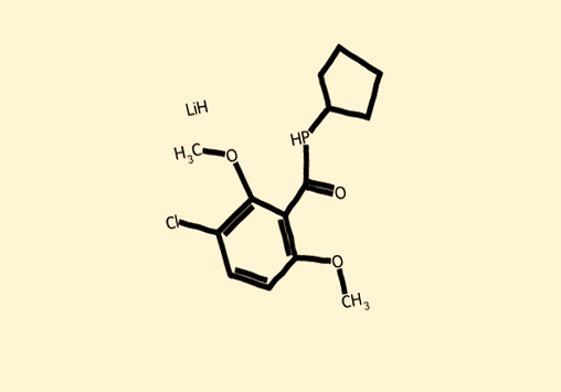 COc1ccc(Cl)c(OC)c1C(=O)P[C]1CCCC1.[LiH]